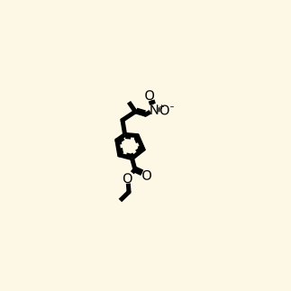 CCOC(=O)c1ccc(CC(C)=C[N+](=O)[O-])cc1